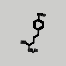 CCOC(=O)[C@H](O)CCCc1ccc(OC)cc1